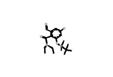 CCN(CC)C(=O)c1c(C=O)cc(Cl)cc1O[Si](C)(C)C(C)(C)C